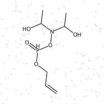 C=CCO[PH](=O)ON(C(C)O)C(C)O